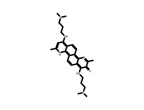 Cc1cc(NCCCN(C)C)c2ccc3c(ccc4c(NCCCN(C)C)c(=O)c(C)nc43)c2[nH]1